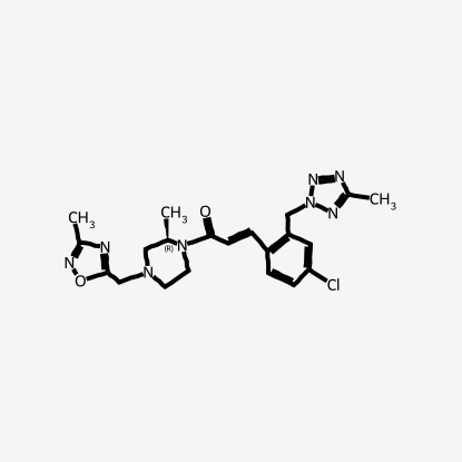 Cc1noc(CN2CCN(C(=O)C=Cc3ccc(Cl)cc3Cn3nnc(C)n3)[C@H](C)C2)n1